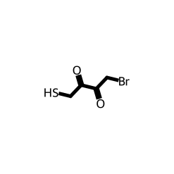 O=C(CS)C(=O)CBr